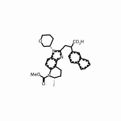 COC(=O)N1c2ccc3c(nc(CC(C(=O)O)c4ccc5ccccc5c4)n3[C@H]3CCCOC3)c2CC[C@@H]1C